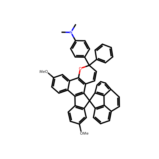 COc1ccc2c(c1)C1(c3c4c(c5cc(OC)ccc5c3-2)OC(c2ccccc2)(c2ccc(N(C)C)cc2)C=C4)c2cccc3ccc4cccc1c4c23